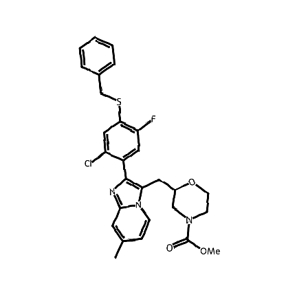 COC(=O)N1CCOC(Cc2c(-c3cc(F)c(SCc4ccccc4)cc3Cl)nc3cc(C)ccn23)C1